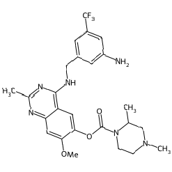 COc1cc2nc(C)nc(NCc3cc(N)cc(C(F)(F)F)c3)c2cc1OC(=O)N1CCN(C)CC1C